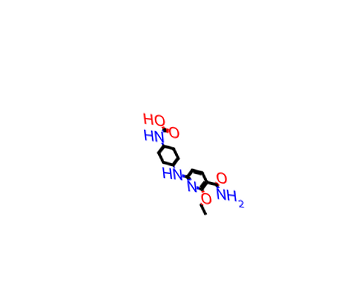 CCOc1nc(N[C@H]2CC[C@H](NC(=O)O)CC2)ccc1C(N)=O